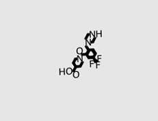 O=C(O)C1CCN(C(=O)c2cc(C(F)(F)F)ccc2CN2CCNCC2)CC1